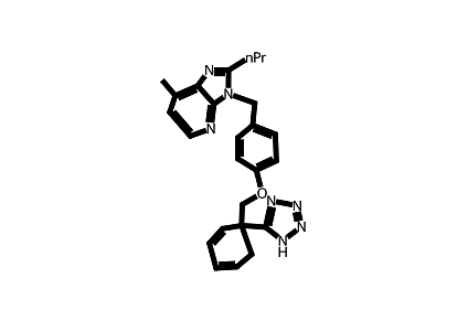 CCCc1nc2c(C)ccnc2n1Cc1ccc(OCC2(c3nnn[nH]3)C=CC=CC2)cc1